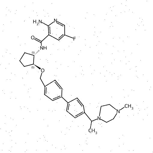 CC(c1ccc(-c2ccc(CO[C@H]3CCC[C@@H]3NC(=O)c3cc(F)cnc3N)cc2)cc1)N1CCN(C)CC1